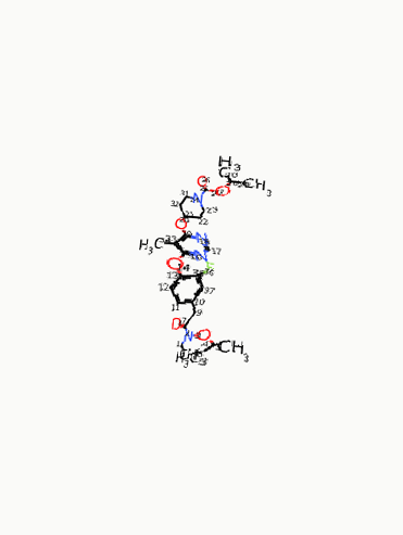 CCN(OC(C)C)C(=O)Cc1ccc(Oc2ncnc(OC3CCN(C(=O)OC(C)C)CC3)c2C)c(F)c1